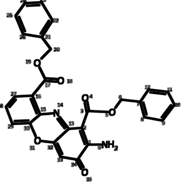 Nc1c(C(=O)OCc2ccccc2)c2nc3c(C(=O)OCc4ccccc4)cccc3oc-2cc1=O